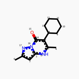 Cc1cc2[nH]c(C)c(C3CCCCC3)c(=O)n2n1